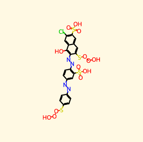 O=S(=O)(O)c1cc2cc(SOOO)c(/N=N/c3ccc(/N=N/c4ccc(SOOO)cc4)cc3S(=O)(=O)O)c(O)c2cc1Cl